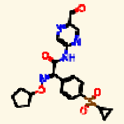 O=Cc1cnc(NC(=O)/C(=N/OC2CCCC2)c2ccc(S(=O)(=O)C3CC3)cc2)cn1